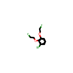 FCCOc1cccc(Br)c1OCCF